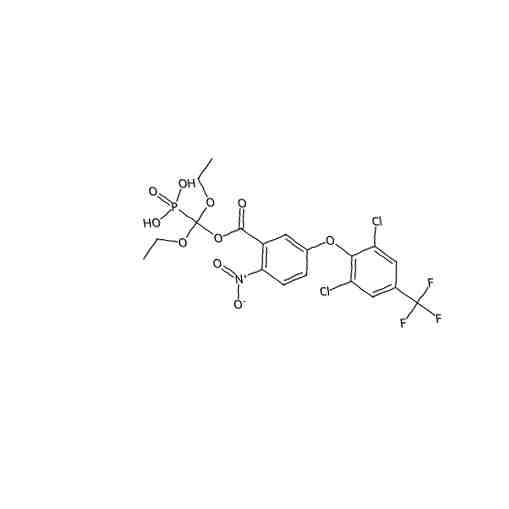 CCOC(OCC)(OC(=O)c1cc(Oc2c(Cl)cc(C(F)(F)F)cc2Cl)ccc1[N+](=O)[O-])P(=O)(O)O